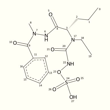 CCC[C@@H](C(=O)NN(C)C(=O)c1ccccc1)N(CC)C(=O)NOS(=O)(=O)O